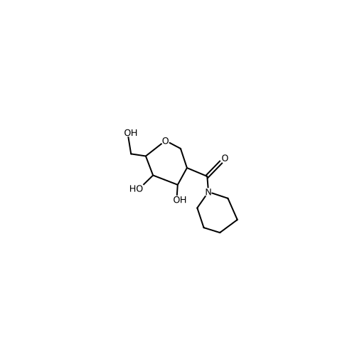 O=C(C1COC(CO)C(O)C1O)N1CCCCC1